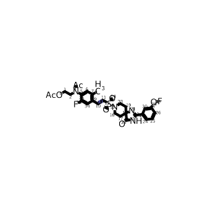 CC(=O)OCCN(C(C)=O)c1cc(C)c(/C=C/S(=O)(=O)N2CCC3(CC2)N=C(c2cccc(OF)c2)NC3=O)cc1F